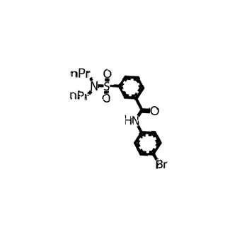 CCCN(CCC)S(=O)(=O)c1cccc(C(=O)Nc2ccc(Br)cc2)c1